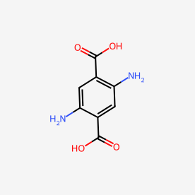 Nc1cc(C(=O)O)c(N)cc1C(=O)O